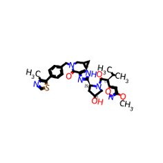 COc1cc([C@@H](C(=O)N2C[C@H](O)C[C@H]2c2nc(C(=O)N(Cc3ccc(-c4scnc4C)cc3)CC3CC3)c[nH]2)C(C)C)on1